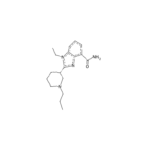 CCCN1CCCC(c2nc3c(C(N)=O)cccc3n2CC)C1